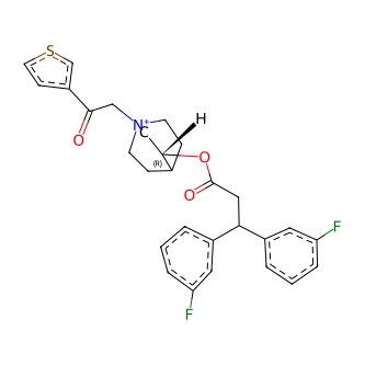 O=C(CC(c1cccc(F)c1)c1cccc(F)c1)O[C@H]1C[N+]2(CC(=O)c3ccsc3)CCC1CC2